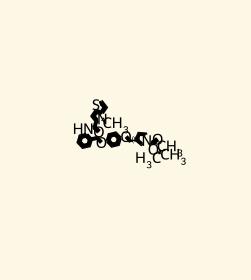 Cn1c(C(=O)Nc2ccccc2COc2ccc(OC[C@H]3CCN(C(=O)OC(C)(C)C)C3)cc2)cc2sccc21